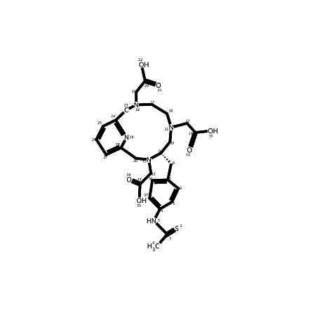 CC(=S)Nc1ccc(C[C@H]2CN(CC(=O)O)CCN(CC(=O)O)Cc3cccc(n3)CN2CC(=O)O)cc1